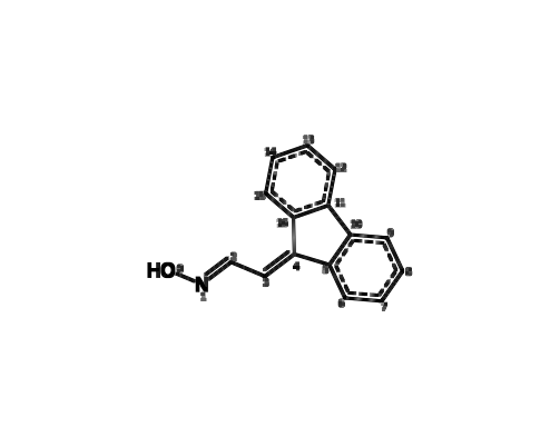 ON=CC=C1c2ccccc2-c2ccccc21